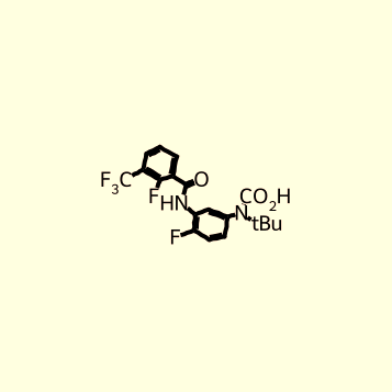 CC(C)(C)N(C(=O)O)c1ccc(F)c(NC(=O)c2cccc(C(F)(F)F)c2F)c1